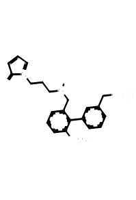 CCN(CCC[N+]1=CC=CC1=O)Cc1cccc(OC)c1-c1cccc(CC(=O)O)c1